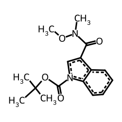 CON(C)C(=O)c1cn(C(=O)OC(C)(C)C)c2ccccc12